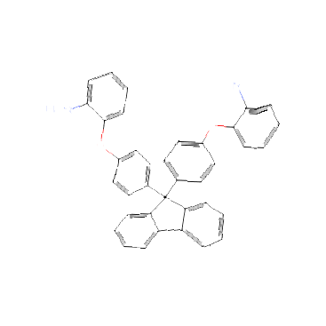 Nc1ccccc1Oc1ccc(C2(c3ccc(Oc4ccccc4N)cc3)c3ccccc3-c3ccccc32)cc1